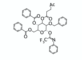 CC(=O)CCC(=O)OC1C(OCc2ccccc2)[C@H](O/C(=N/c2ccccc2)C(F)(F)F)OC(COC(=O)c2ccccc2)[C@@H]1OC(=O)c1ccccc1